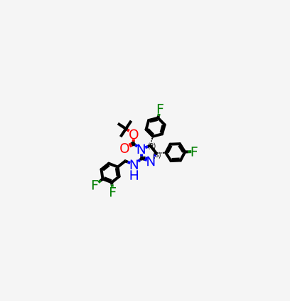 CC(C)(C)OC(=O)N1C(NCc2ccc(F)c(F)c2)=N[C@@H](c2ccc(F)cc2)[C@H]1c1ccc(F)cc1